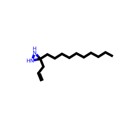 C=CCC1(CCCCCCCCCC)NN1